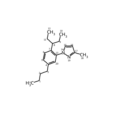 CCCCc1ccc(C(CC)CC)c(-n2ccc(C)n2)c1